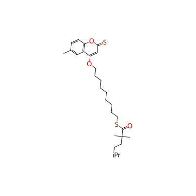 Cc1ccc2oc(=S)cc(OCCCCCCCCCSC(=O)C(C)(C)CCC(C)C)c2c1